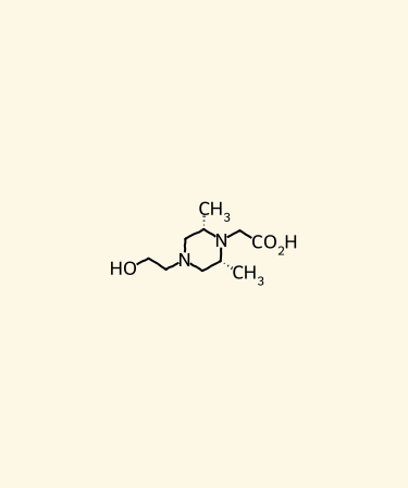 C[C@@H]1CN(CCO)C[C@H](C)N1CC(=O)O